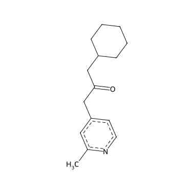 Cc1cc(CC(=O)CC2CCCCC2)ccn1